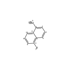 CC(C)(C)c1cccc2c(F)cccc12